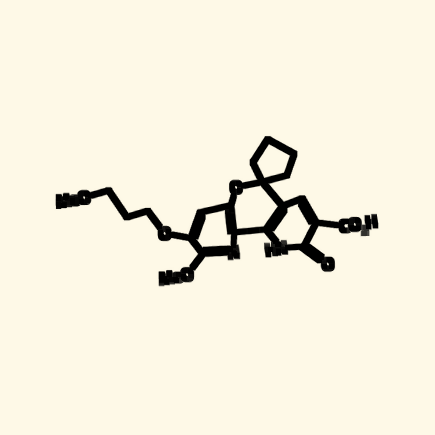 COCCCOc1cc2c(nc1OC)-c1[nH]c(=O)c(C(=O)O)cc1C1(CCCC1)O2